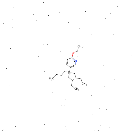 CCC[CH2][Sn]([CH2]CCC)([CH2]CCC)[c]1ccc(OCC)nc1